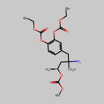 C[C@@H](CC(N)(Cc1ccc(OC(=O)OCC(C)(C)C)c(OC(=O)OCC(C)(C)C)c1)C(=O)O)OC(=O)OC(C)(C)C